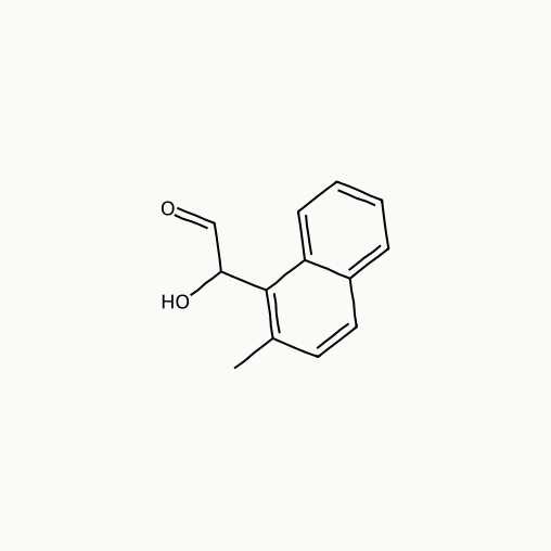 Cc1ccc2ccccc2c1C(O)C=O